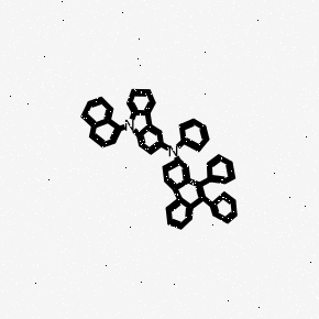 c1ccc(-c2c(-c3ccccc3)c3cc(N(c4ccccc4)c4ccc5c(c4)c4ccccc4n5-c4cccc5ccccc45)ccc3c3ccccc23)cc1